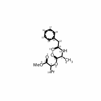 COC(=O)C(OC(=O)[C@H](C)NC(=O)Cc1ccccc1)C(C)C